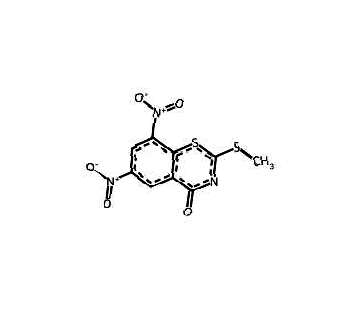 CSc1nc(=O)c2cc([N+](=O)[O-])cc([N+](=O)[O-])c2s1